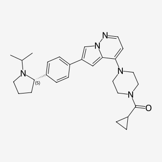 CC(C)N1CCC[C@H]1c1ccc(-c2cc3c(N4CCN(C(=O)C5CC5)CC4)ccnn3c2)cc1